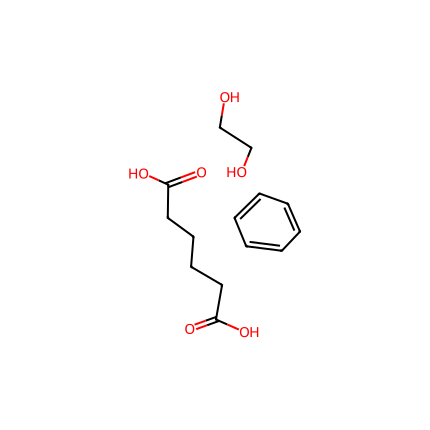 O=C(O)CCCCC(=O)O.OCCO.c1ccccc1